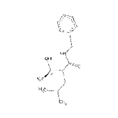 CC(C)CC(C(=O)NCc1ccccc1)[C@@H](C)O